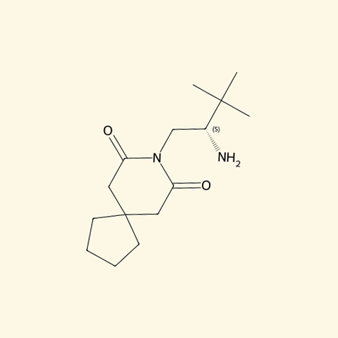 CC(C)(C)[C@H](N)CN1C(=O)CC2(CCCC2)CC1=O